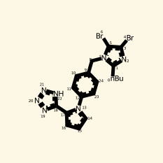 CCCCc1nc(Br)c(Br)n1Cc1ccc(-n2cccc2-c2nnn[nH]2)cc1